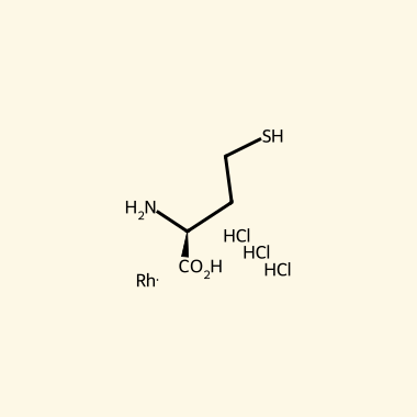 Cl.Cl.Cl.N[C@@H](CCS)C(=O)O.[Rh]